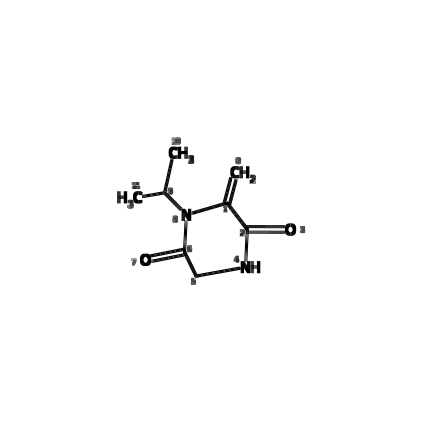 C=C1C(=O)NCC(=O)N1C(C)C